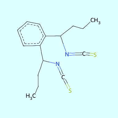 CCCC(N=C=S)c1ccccc1C(CCC)N=C=S